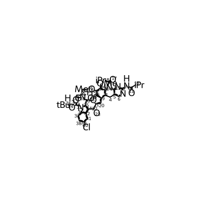 COc1cc(Cc2cnc(NC(=O)C(C)C)nc2NC(=O)C(C)C)c2cc(C(=O)c3c(C(=O)N(C)C)n(C(=O)OC(C)(C)C)c4ccc(Cl)cc34)oc2c1OC